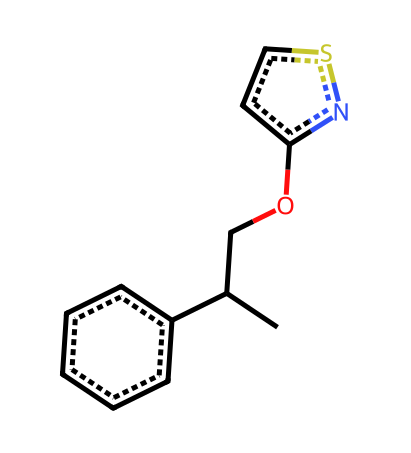 CC(COc1ccsn1)c1ccccc1